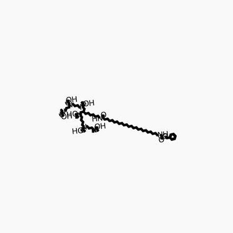 CB(O)N(C)CCCN(CCCCN(CC(CCCCCCNC(=O)CCCCCCCCCCCCCCCCCCCCCCCNC(=O)OCc1ccccc1)CN(CCCCN(CCCN(C)B(C)O)B(C)O)B(C)O)B(C)O)B(C)O